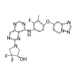 Cc1c(Oc2ccn3ncnc3c2)ccc(Nc2ncnc3cnc(N4C[C@@H](O)C(F)(F)C4)nc23)c1F